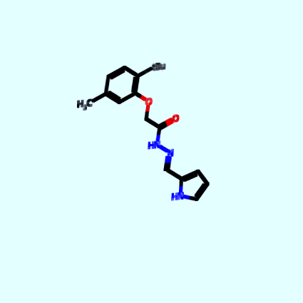 Cc1ccc(C(C)(C)C)c(OCC(=O)N/N=C/c2ccc[nH]2)c1